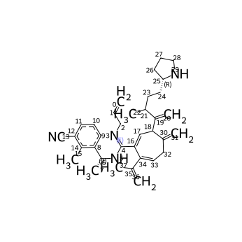 C=CC/N=C(/N[C@H](C)c1cccc(C#N)c1C)C1=CC(C(=C)C(C)CC[C@@H]2CCCN2)C(=C)CC=C1C(=C)C